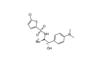 CC[C@H](C)C(NS(=O)(=O)c1ccc(Cl)s1)[C@@H](O)c1ccc(N(C)C)cc1